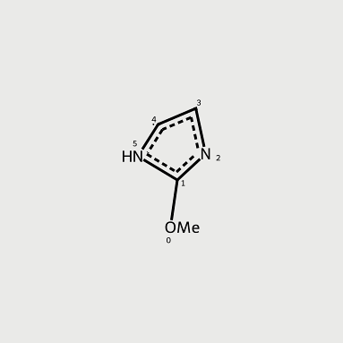 COc1nc[c][nH]1